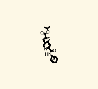 CC(C)OC(=O)c1cc2cnc(C(=O)NC3CC4CCC3CC4)cc2s1